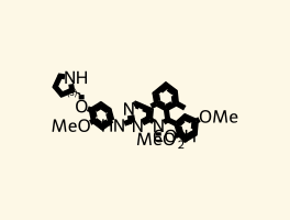 COc1ccc(OC)c(C(c2c(C)cccc2C)N(C(=O)O)c2ccnc(Nc3ccc(OC[C@@H]4CCCN4)c(OC)c3)n2)c1